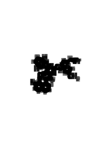 C#Cc1c(F)ccc2cccc(-c3ncc4c(N5C[C@H]6CC[C@@H](C5)N6)nc(OC[C@@]56CC[C@@H](CC(C)C)N5CC(=C)C6)nc4c3F)c12